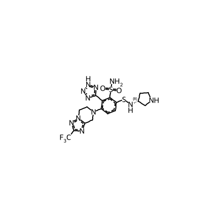 NS(=O)(=O)c1c(SN[C@@H]2CCNC2)ccc(N2CCn3nc(C(F)(F)F)nc3C2)c1-c1nn[nH]n1